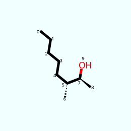 CCCCC[C@@H](C)[C@H](C)O